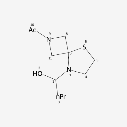 CCCC(O)N1CCSC12CN(C(C)=O)C2